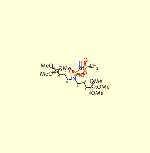 CO[Si](CCCN(CCC[Si](OC)(OC)OC)S(=O)(=O)NS(=O)(=O)C(F)(F)F)(OC)OC